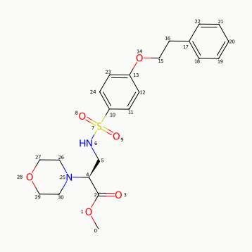 COC(=O)[C@H](CNS(=O)(=O)c1ccc(OCCc2ccccc2)cc1)N1CCOCC1